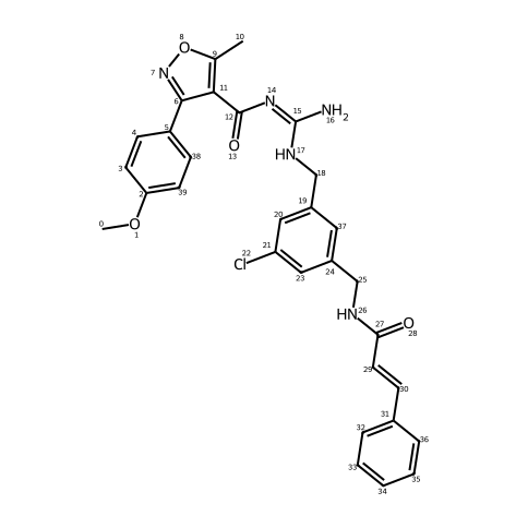 COc1ccc(-c2noc(C)c2C(=O)N=C(N)NCc2cc(Cl)cc(CNC(=O)C=Cc3ccccc3)c2)cc1